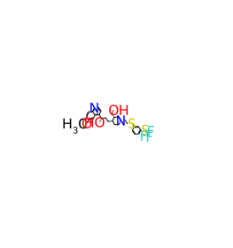 COc1ccc2nccc([C@H](O)CC[C@@H]3CCN(CCSc4cccc(SC(F)(F)F)c4)C[C@@H]3CO)c2c1